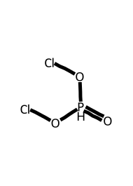 O=[PH](OCl)OCl